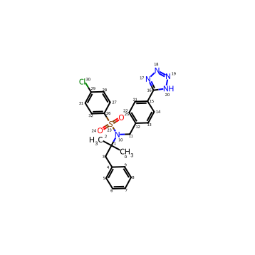 CC(C)(Cc1ccccc1)N(Cc1ccc(-c2nnn[nH]2)cc1)S(=O)(=O)c1ccc(Cl)cc1